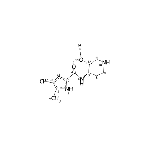 Cc1[nH]c(C(=O)N[C@@H]2CCNC[C@H]2OF)cc1Cl